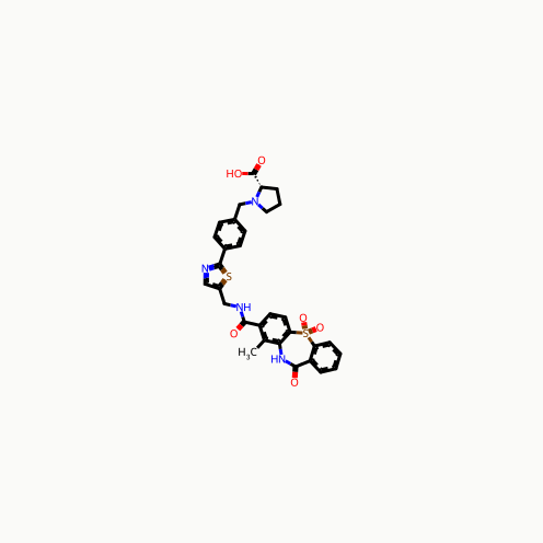 Cc1c(C(=O)NCc2cnc(-c3ccc(CN4CCC[C@H]4C(=O)O)cc3)s2)ccc2c1NC(=O)c1ccccc1S2(=O)=O